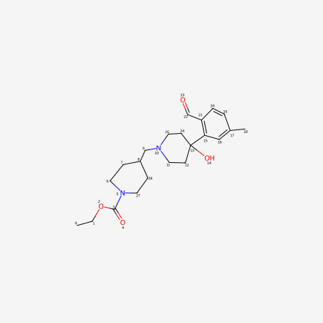 CCOC(=O)N1CCC(CN2CCC(O)(c3cc(C)ccc3C=O)CC2)CC1